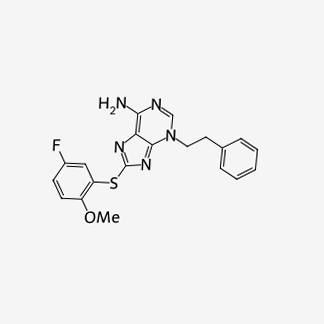 COc1ccc(F)cc1Sc1nc2c(N)ncn(CCc3ccccc3)c-2n1